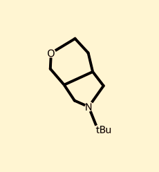 CC(C)(C)N1CC2CCOCC2C1